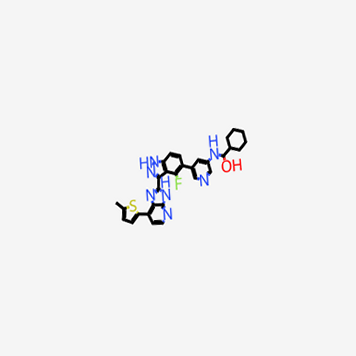 Cc1ccc(-c2ccnc3[nH]c(-c4n[nH]c5ccc(-c6cncc(NC(O)C7CCCCC7)c6)c(F)c45)nc23)s1